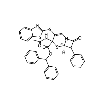 CC(=O)NC1(C(=O)OC(c2ccccc2)c2ccccc2)S[C@@H]2C(c3ccccc3)C(=O)N2C=C1Sc1nc2ccccc2s1